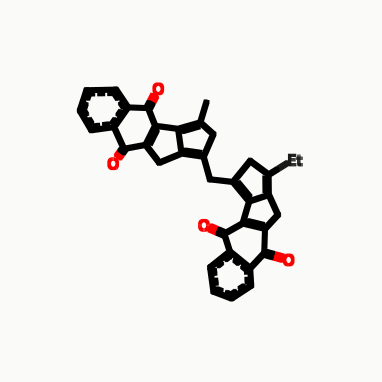 CCC1=C2CC3=C(C(=O)c4ccccc4C3=O)C2=C(CC2=C3CC4=C(C(=O)c5ccccc5C4=O)C3=C(C)C2)C1